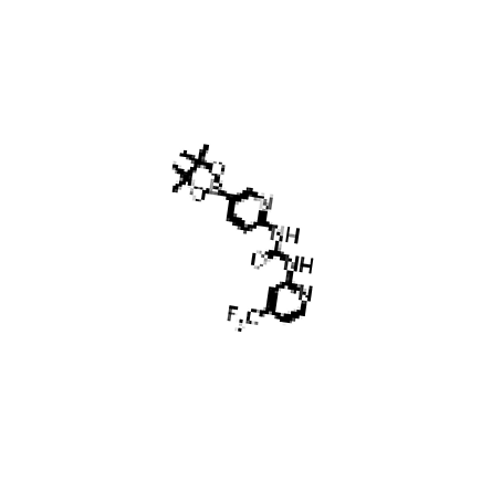 CC1(C)OB(c2ccc(NC(=O)Nc3cc(C(F)(F)F)ccn3)nc2)OC1(C)C